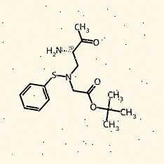 CC(=O)[C@@H](N)CN(CC(=O)OC(C)(C)C)Sc1ccccc1